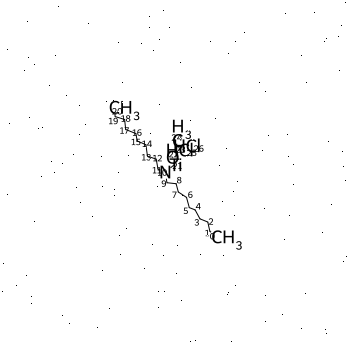 CCCCCCCCCC[N](CCCCCCCCCC)[Ti][O]CC.Cl.Cl